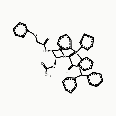 CC(=O)S[C@H]1[C@@H](NC(=O)COc2ccccc2)C(=O)N1C(C(=O)OC(c1ccccc1)c1ccccc1)=P(c1ccccc1)(c1ccccc1)c1ccccc1